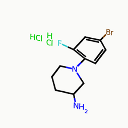 Cl.Cl.NC1CCCN(c2ccc(Br)cc2F)C1